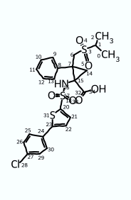 CC(C)S(=O)(=O)CC1(c2ccccc2)CC1(NS(=O)(=O)c1ccc(-c2ccc(Cl)cc2)s1)C(=O)O